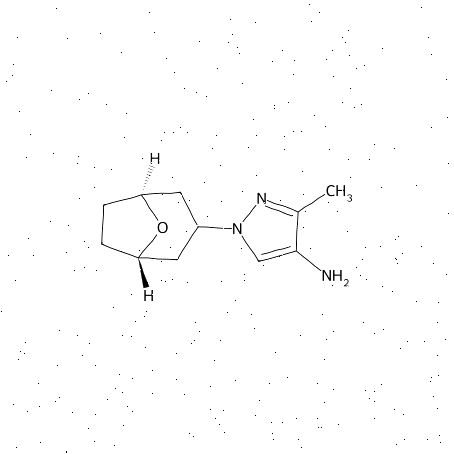 Cc1nn(C2C[C@@H]3CC[C@@H](C2)O3)cc1N